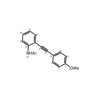 COc1ccc(C#Cc2ccccc2NC(C)=O)cc1